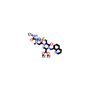 CCNC(=O)NN(C)CC(=O)NC(CC(=O)O)C(=O)N(Cc1cccc2cccnc12)C(C)C(OCC)OCC